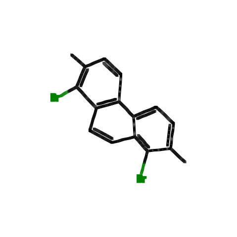 Cc1ccc2c(ccc3c(Br)c(C)ccc32)c1Br